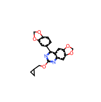 c1cc2c(cc1-c1nc(OCC3CC3)nc3cc4c(cc13)OCO4)OCO2